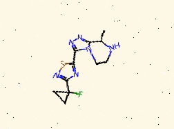 C[C@H]1NCCn2c(-c3nc(C4(F)CC4)ns3)nnc21